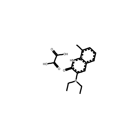 CCN(CC)c1cc2cccc(C)c2[nH]c1=O.O=C(O)C(=O)O